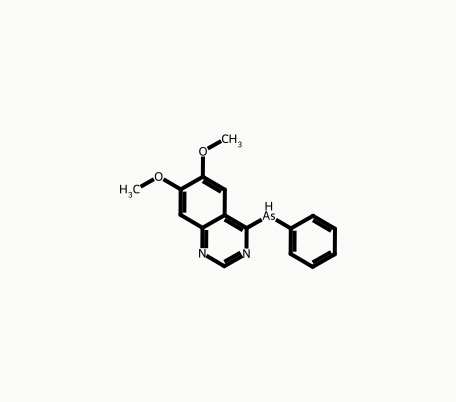 COc1cc2ncnc([AsH]c3ccccc3)c2cc1OC